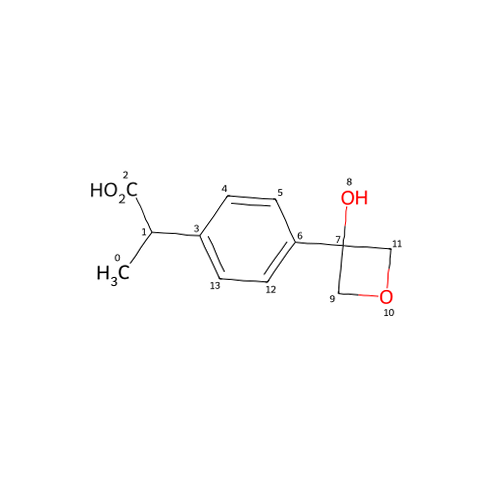 CC(C(=O)O)c1ccc(C2(O)COC2)cc1